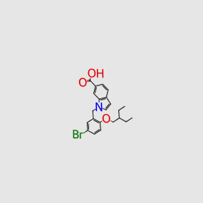 CCC(CC)COc1ccc(Br)cc1Cn1ccc2ccc(C(=O)O)cc21